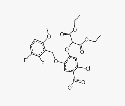 CCOC(=O)C(Oc1cc(Cl)c([N+](=O)[O-])cc1OCc1c(OC)ccc(F)c1F)C(=O)OCC